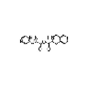 NC(Cc1cccnc1)C(=O)OC(=O)[C@@H]1Cc2ccccc2CN1